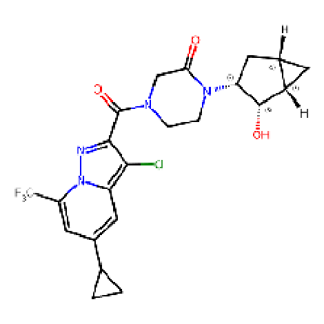 O=C(c1nn2c(C(F)(F)F)cc(C3CC3)cc2c1Cl)N1CCN([C@@H]2C[C@@H]3C[C@@H]3[C@@H]2O)C(=O)C1